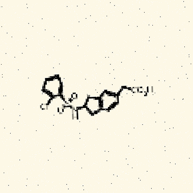 O=C(O)Cc1ccc2c(c1)CC(NS(=O)(=O)c1ccccc1Cl)C2